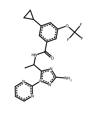 CC(NC(=O)c1cc(OC(F)(F)F)cc(C2CC2)c1)c1nc(N)nn1-c1ncccn1